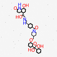 O=C(c1ccc(CCNC[C@H](O)c2ccc(O)c3[nH]c(=O)ccc23)cc1)N1CCC(COc2cccc([C@](O)(C(=O)O)c3ccccc3)c2)CC1